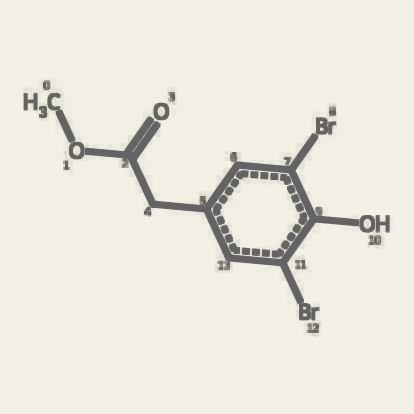 COC(=O)Cc1cc(Br)c(O)c(Br)c1